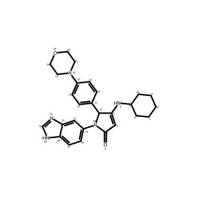 O=C1C=C(NC2CCCCC2)C(c2ccc(N3CCOCC3)cc2)N1c1ccc2[nH]cnc2c1